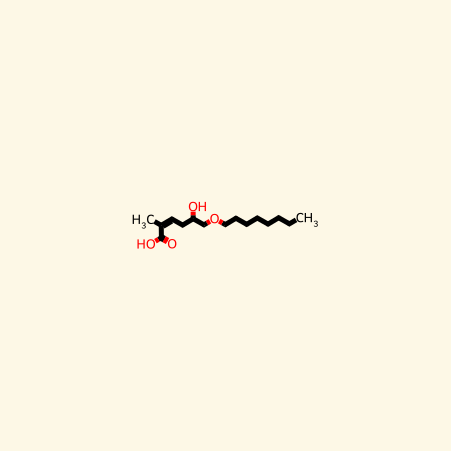 CCCCCCCCOCC(O)CC=C(C)C(=O)O